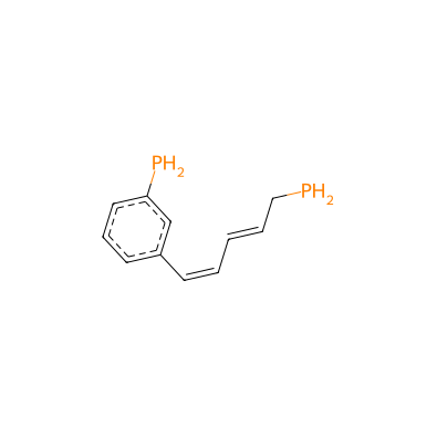 PC/C=C/C=C\c1cccc(P)c1